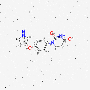 O=C1CCN(c2ccc(O[C@@H]3CCNC3)cc2)C(=O)N1